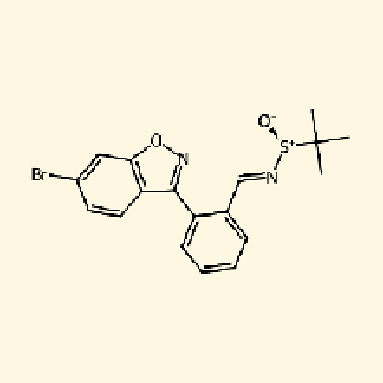 CC(C)(C)[S@+]([O-])N=Cc1ccccc1-c1noc2cc(Br)ccc12